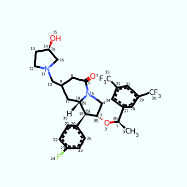 C[C@@H](O[C@H]1CN2C(=O)CC(CN3CC[C@@H](O)C3)C[C@H]2[C@@H]1c1ccc(F)cc1)c1cc(C(F)(F)F)cc(C(F)(F)F)c1